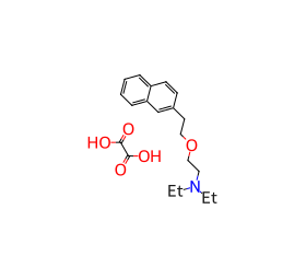 CCN(CC)CCOCCc1ccc2ccccc2c1.O=C(O)C(=O)O